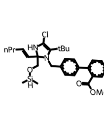 CCCC=CC1(CO[SiH](C)C)NC(Cl)=C(C(C)(C)C)N1Cc1ccc(-c2ccccc2C(=O)OC)cc1